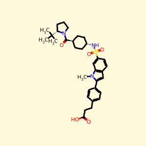 Cn1c(-c2ccc(CCC(=O)O)cc2)cc2ccc(S(=O)(=O)N[C@H]3CC[C@H](C(=O)N4CCC[C@H]4C(C)(C)C)CC3)cc21